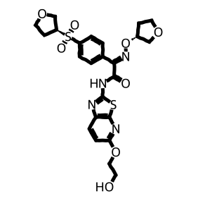 O=C(Nc1nc2ccc(OCCO)nc2s1)/C(=N/O[C@@H]1CCOC1)c1ccc(S(=O)(=O)[C@H]2CCOC2)cc1